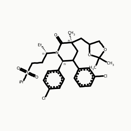 CC[C@@H](CCS(=O)(=O)C(C)C)N1C(=O)[C@@](C)(CC2COC(C)(C)O2)CC(c2cccc(Cl)c2)[C@H]1c1ccc(Cl)cc1